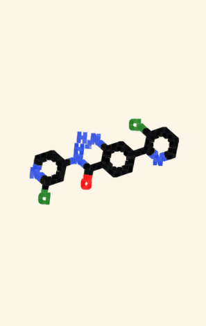 Nc1cc(-c2ncccc2Cl)ccc1C(=O)Nc1ccnc(Cl)c1